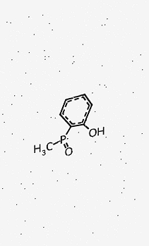 C[P](=O)c1ccccc1O